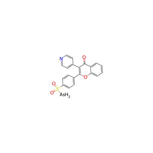 O=c1c(-c2ccncc2)c(-c2ccc(S(=O)(=O)[AsH2])cc2)oc2ccccc12